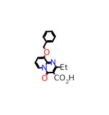 CCc1nc2c(OCc3ccccc3)cccn2c(=O)c1C(=O)O